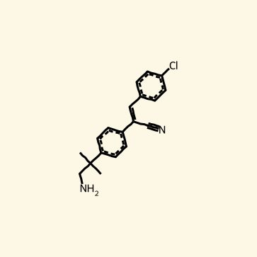 CC(C)(CN)c1ccc(/C(C#N)=C/c2ccc(Cl)cc2)cc1